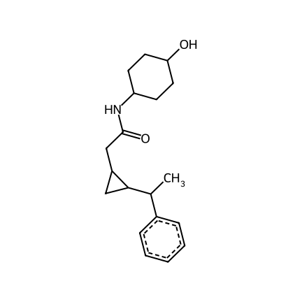 CC(c1ccccc1)C1CC1CC(=O)NC1CCC(O)CC1